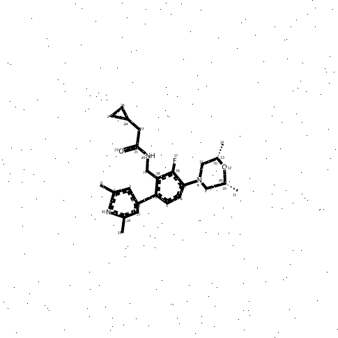 Cc1cc(-c2ccc(N3C[C@@H](C)O[C@@H](C)C3)c(F)c2CNC(=O)CC2CC2)cc(C)n1